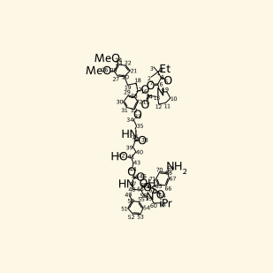 CCC(C)(C)C(=O)C(=O)N1CCCC[C@H]1C(=O)O[C@H](CCc1ccc(OC)c(OC)c1)c1cccc(OCCNC(=O)CCC(O)COC(=O)N[C@@H](Cc2ccccc2)[C@H](O)CN(CC(C)C)S(=O)(=O)c2ccc(N)cc2)c1